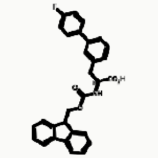 O=C(N[C@@H](Cc1cccc(-c2ccc(F)cc2)c1)C(=O)O)OCC1c2ccccc2-c2ccccc21